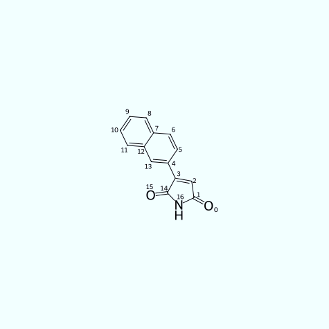 O=C1C=C(c2ccc3ccccc3c2)C(=O)N1